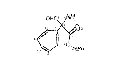 CC(C)(C)OC(=O)C(N)(C=O)c1ccccc1